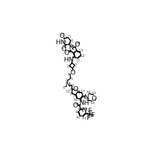 CN(CCCOC1CC(Nc2cccc3c2C(=O)N(C2CCC(=O)NC2=O)C3=O)C1)C[C@]1(C)Cc2cc(NC(=O)c3cccc(C(F)(F)F)n3)c(N3CCOCC3)cc2O1